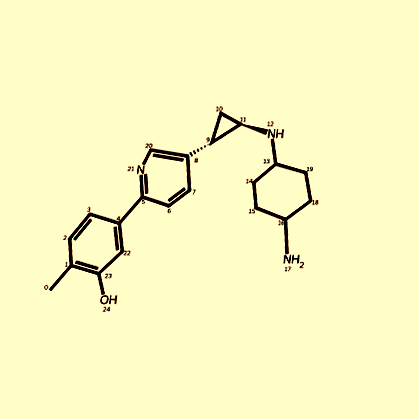 Cc1ccc(-c2ccc([C@@H]3C[C@H]3NC3CCC(N)CC3)cn2)cc1O